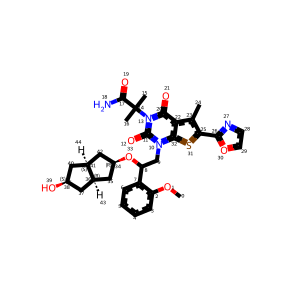 COc1ccccc1C(Cn1c(=O)n(C(C)(C)C(N)=O)c(=O)c2c(C)c(-c3ncco3)sc21)O[C@H]1C[C@H]2C[C@@H](O)C[C@H]2C1